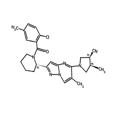 Cc1ccc(Cl)c(C(=O)N2CCCC[C@H]2c2cc3nc(N4C[C@@H](C#N)[C@@H](C)C4)c(C)cn3n2)c1